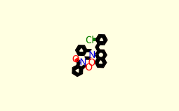 O=C1c2ccccc2C(=O)N1CC(=O)N(Cc1ccccc1)C1c2ccccc2CCC1Cc1ccccc1Cl